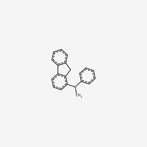 CN(c1ccccc1)c1cccc2c1Cc1ccccc1-2